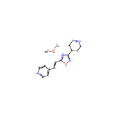 C(=C\c1nc(C2CCNCC2)no1)/c1ccncc1.CC(C)(C)OC=O